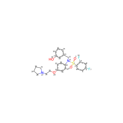 O=S(=O)(c1ccc(F)cc1F)N(Cc1cccc(O)c1)c1ccc(OCCN2CCCC2)cc1